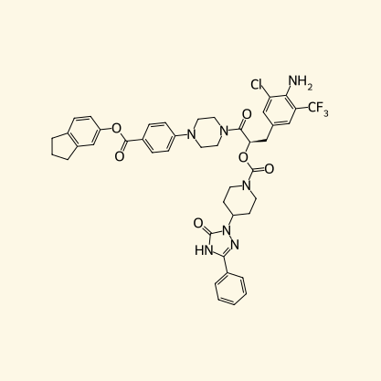 Nc1c(Cl)cc(C[C@@H](OC(=O)N2CCC(n3nc(-c4ccccc4)[nH]c3=O)CC2)C(=O)N2CCN(c3ccc(C(=O)Oc4ccc5c(c4)CCC5)cc3)CC2)cc1C(F)(F)F